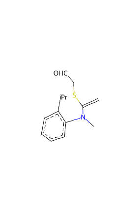 C=C(SCC=O)N(C)c1ccccc1C(C)C